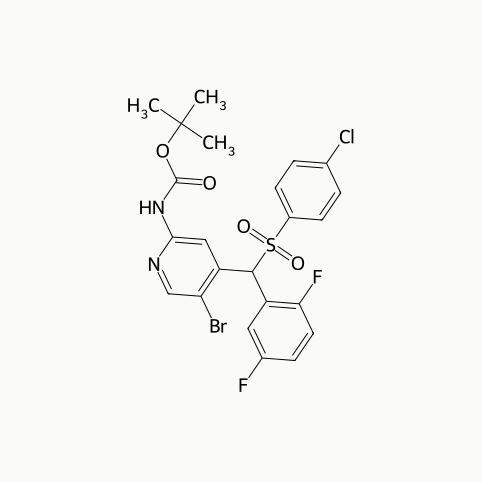 CC(C)(C)OC(=O)Nc1cc(C(c2cc(F)ccc2F)S(=O)(=O)c2ccc(Cl)cc2)c(Br)cn1